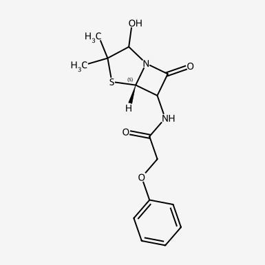 CC1(C)S[C@H]2C(NC(=O)COc3ccccc3)C(=O)N2C1O